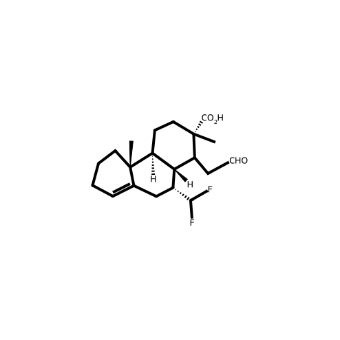 C[C@]12CCCC=C1C[C@@H]([C](F)F)[C@H]1C(CC=O)[C@@](C)(C(=O)O)CC[C@@H]12